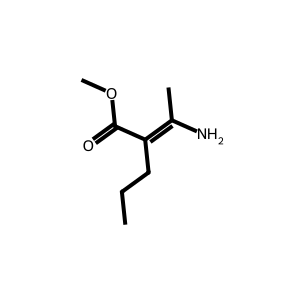 CCCC(C(=O)OC)=C(C)N